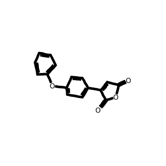 O=C1C=C(c2ccc(Oc3ccccc3)cc2)C(=O)O1